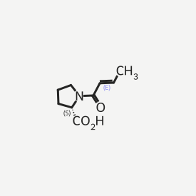 C/C=C/C(=O)N1CCC[C@H]1C(=O)O